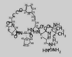 CC(C)(C)[C@H](NC(=O)[C@H](CCCNC(=N)N)NC(=O)[C@@H]1C/C=C/c2cccc(c2)OCCCC(=O)N2CCCC2C(=O)N[C@@H](C2CCCCC2)C(=O)N1)C(N)=O